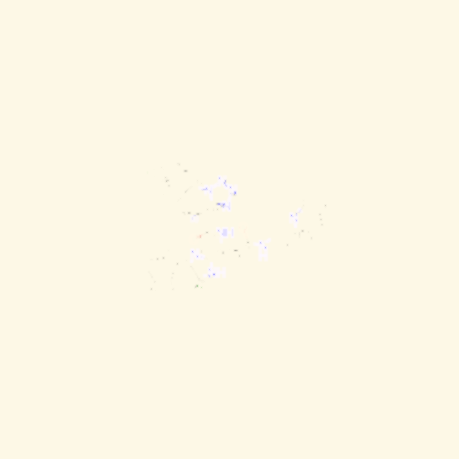 Cc1ccc(-c2nc([C@H](CC(=O)NCCc3ccccn3)NC(=O)/C=C/c3cc(Cl)ccc3-n3cnnn3)[nH]c2Cl)cc1